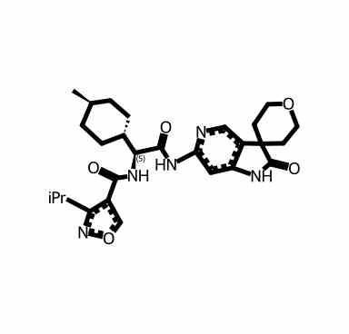 CC(C)c1nocc1C(=O)N[C@H](C(=O)Nc1cc2c(cn1)C1(CCOCC1)C(=O)N2)[C@H]1CC[C@H](C)CC1